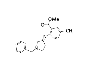 COC(=O)c1cc(C)ccc1N=C1CCN(Cc2ccccc2)C1